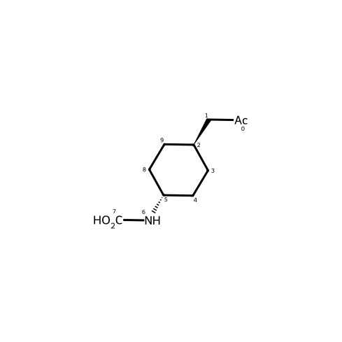 CC(=O)C[C@H]1CC[C@H](NC(=O)O)CC1